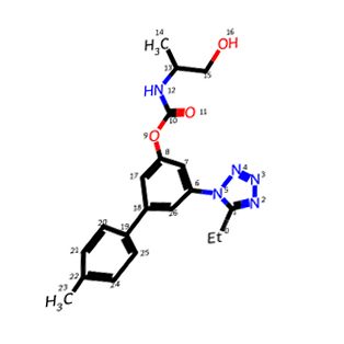 CCc1nnnn1-c1cc(OC(=O)NC(C)CO)cc(-c2ccc(C)cc2)c1